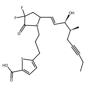 CCC#CC[C@H](C)[C@H](O)/C=C/C1CC(F)(F)C(=O)N1CCCc1ccc(C(=O)O)s1